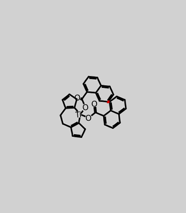 O=C([O][Ti]1([O]C(=O)c2cccc3ccccc23)[C]2=C(C=CC2)CCC2=[C]1CC=C2)c1cccc2ccccc12